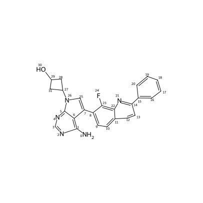 Nc1ncnc2c1c(-c1ccc3ccc(-c4ccccc4)nc3c1F)cn2C1CC(O)C1